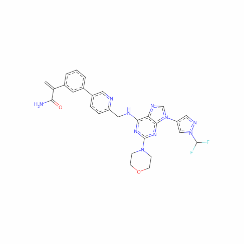 C=C(C(N)=O)c1cccc(-c2ccc(CNc3nc(N4CCOCC4)nc4c3ncn4-c3cnn(C(F)F)c3)nc2)c1